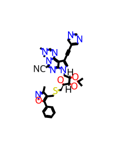 Cc1noc(-c2ccccc2)c1CSC[C@H]1O[C@@H](n2cc(C#Cc3cncnc3)c3c(/N=C\N(C)C)nc(C#N)nc32)[C@@H]2OC(C)(C)O[C@@H]21